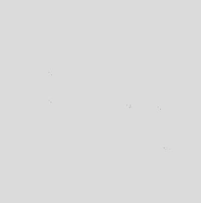 COC1CCN(c2cc(F)ccc2Nc2cc(F)c(S(=O)(=O)Nc3cscn3)cc2Cl)C1